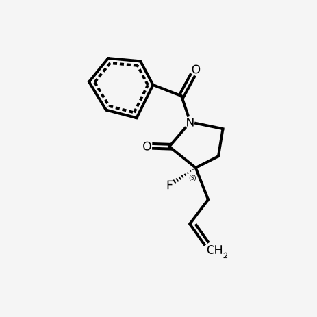 C=CC[C@]1(F)CCN(C(=O)c2ccccc2)C1=O